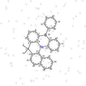 CC1(C)c2cccc3c2N(c2ccccc2B3c2ccccc2)c2c1ccc1ccccc21